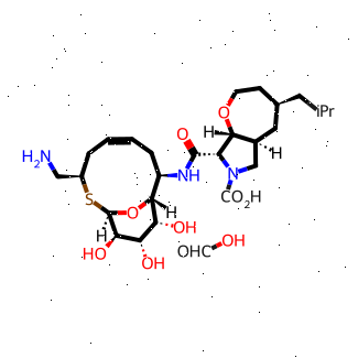 CC(C)C[C@@H]1CCO[C@@H]2[C@@H](C1)CN(C(=O)O)[C@@H]2C(=O)N[C@@H]1CC=CC[C@H](CN)S[C@H]2O[C@H]1[C@H](O)[C@H](O)[C@H]2O.O=CO